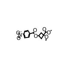 COC(=O)C1(OC)CC(OC(=O)c2ccc([N+](=O)[O-])cc2)C1